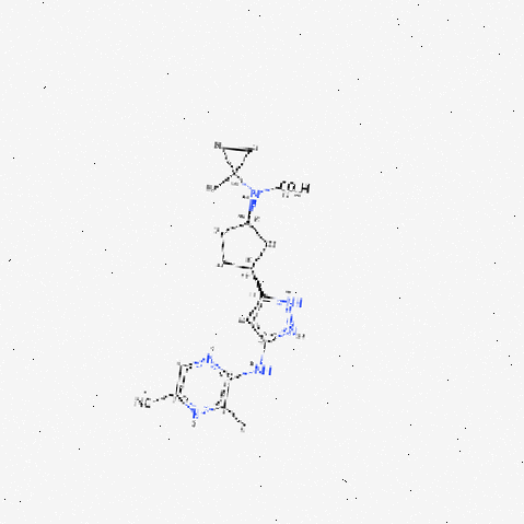 Cc1nc(C#N)cnc1Nc1cc([C@H]2CC[C@@H](N(C(=O)O)C3(C)CC3)C2)[nH]n1